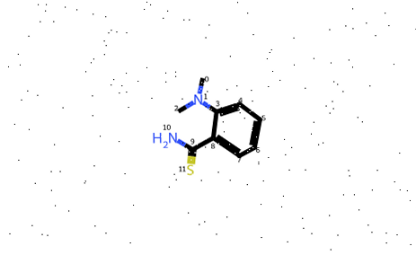 CN(C)c1ccccc1C(N)=S